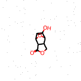 O=C1OCC2C3OC(C=C3O)C12